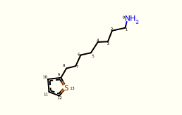 NCCCCCCCCc1cccs1